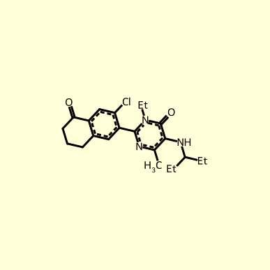 CCC(CC)Nc1c(C)nc(-c2cc3c(cc2Cl)C(=O)CCC3)n(CC)c1=O